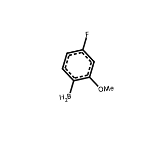 Bc1ccc(F)cc1OC